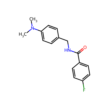 CN(C)c1ccc(CNC(=O)c2ccc(F)cc2)cc1